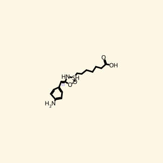 Nc1ccc(/C=C2/N[SH](CCCCCCC(=O)O)OO2)cc1